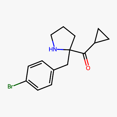 O=C(C1CC1)C1(Cc2ccc(Br)cc2)CCCN1